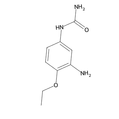 CCOc1ccc(NC(N)=O)cc1N